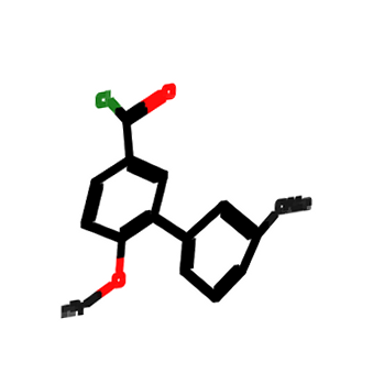 CCCOc1ccc(C(=O)Cl)cc1-c1cccc(OC)c1